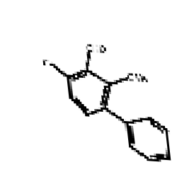 COc1c(-c2ccccc2)ccc(Cl)c1C=O